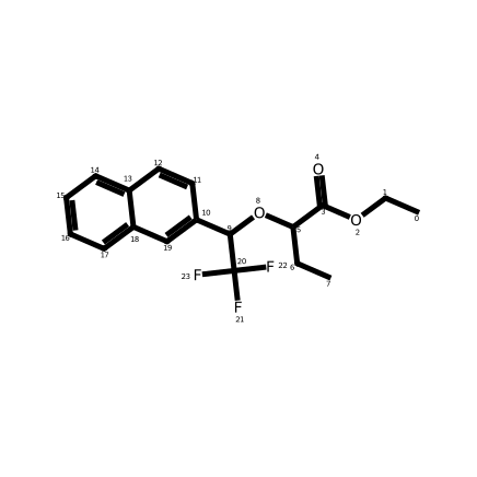 CCOC(=O)C(CC)OC(c1ccc2ccccc2c1)C(F)(F)F